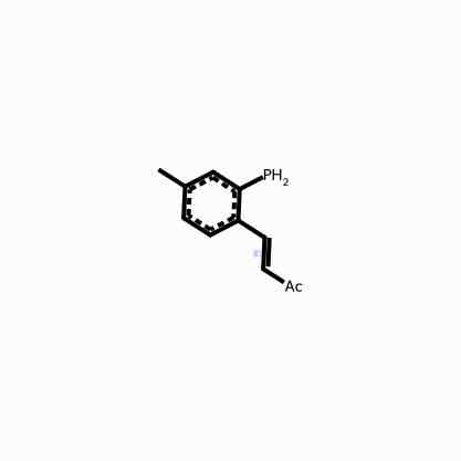 CC(=O)/C=C/c1ccc(C)cc1P